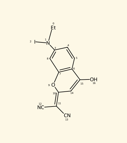 CCN(I)c1ccc2c(c1)OC(=C(C#N)C#N)C=C2O